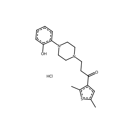 Cc1cc(C(=O)CCN2CCN(c3ccccc3O)CC2)c(C)s1.Cl